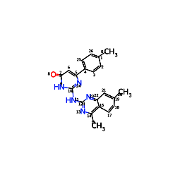 Cc1ccc(-c2cc(=O)[nH]c(Nc3nc(C)c4ccc(C)cc4n3)n2)cc1